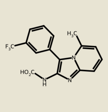 Cc1cccc2nc(NC(=O)O)c(-c3cccc(C(F)(F)F)c3)n12